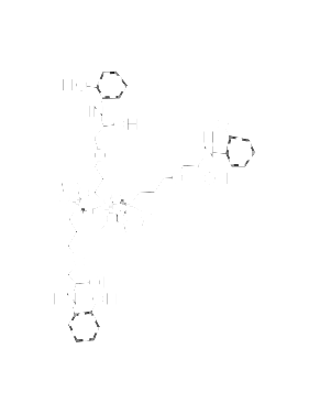 CO[Si](CCCOCC(O)Nc1ccccc1O)(OC)O[Si](CCCOCC(O)Nc1ccccc1O)(OC)O[Si](CCCOCC(O)Nc1ccccc1O)(OC)OC